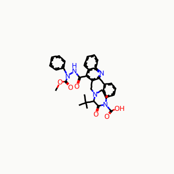 COC(=O)N(NC(=O)c1c(CN2CCN(C(=O)O)C(=O)C2C(C)(C)C)c(-c2ccccc2)nc2ccccc12)c1ccccc1